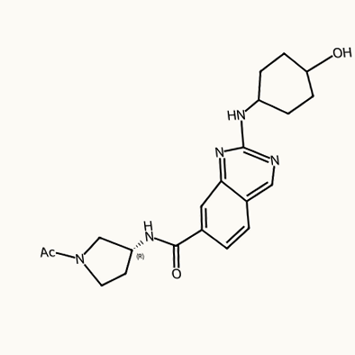 CC(=O)N1CC[C@@H](NC(=O)c2ccc3cnc(NC4CCC(O)CC4)nc3c2)C1